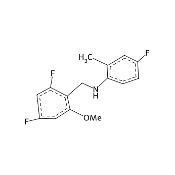 COc1cc(F)cc(F)c1CNc1ccc(F)cc1C